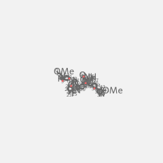 COCCn1ncc2cc(-n3ccn(-c4c5c(nn4-c4cccc(C)c4F)CCN(C(=O)c4cc6cc(-c7ccnc(OC)c7C)ccc6n4[C@@]4(c6noc(=O)[nH]6)C[C@@H]4C)C5)c3=O)ccc21